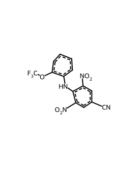 N#Cc1cc([N+](=O)[O-])c(Nc2ccccc2OC(F)(F)F)c([N+](=O)[O-])c1